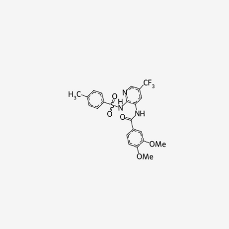 COc1ccc(C(=O)Nc2cc(C(F)(F)F)cnc2NS(=O)(=O)c2ccc(C)cc2)cc1OC